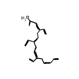 BC(C)/C=C(/C=C)C/C=C(\C=C)C/C=C(/C=C)C/C=C\C=C